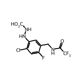 O=C(O)NNc1cc(CNC(=O)C(F)(F)F)c(F)cc1Cl